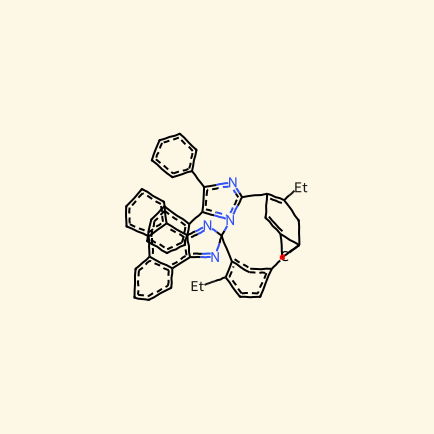 CCC1=C2C=C3CC3(C1)Cc1ccc(CC)c(c1)C1(N=c3c(c4ccccc4c4ccccc34)=N1)n1c2nc(-c2ccccc2)c1-c1ccccc1